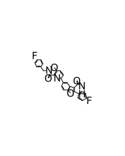 CNC(=O)c1c(-c2ccc(F)cc2)oc2ccc(-c3ccc4c(n3)C(=O)N(Cc3ccc(F)cc3)CO4)cc12